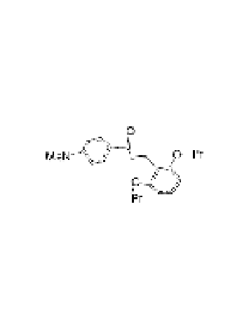 CNc1ccc(C(=O)C=Cc2c(OC(C)C)cccc2OC(C)C)cc1